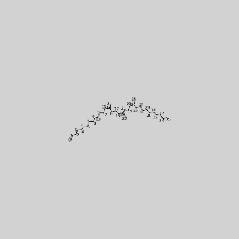 CCCCCCCCCCCCCCC(C)CCCC(C)CCCC(C)CCCCCCCCCC